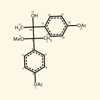 COC(C)(c1ccc(OC(C)=O)cc1)C(C)(O)c1ccc(OC(C)=O)cc1